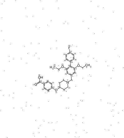 CCOc1cc(CN2CCC(Oc3ccc(C(=O)O)cc3)CC2)cc(OCC)c1-c1ccc(F)cc1